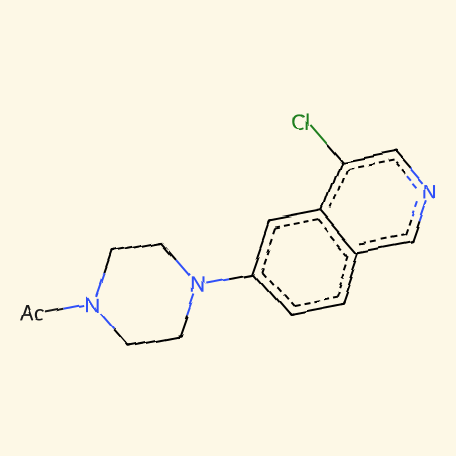 CC(=O)N1CCN(c2ccc3cncc(Cl)c3c2)CC1